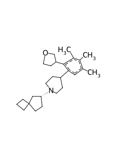 Cc1cc(C2CCN([C@@H]3CCC4(CCC4)C3)CC2)c(C2CCOC2)c(C)c1C